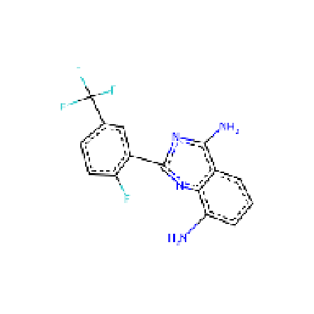 Nc1nc(-c2cc(C(F)(F)F)ccc2F)nc2c(N)cccc12